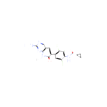 CC(C)n1c(=O)c(-c2cc(F)c(NC(=O)[C@@H]3C[C@@H]3C)c(F)c2F)cc2cnc(N)nc21